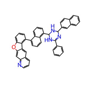 c1ccc(C2=NC(c3ccc4ccccc4c3)NC(c3cccc4c(-c5cccc6oc7cc8ncccc8cc7c56)cccc34)N2)cc1